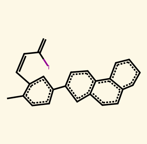 C=C(I)/C=C\c1cc(-c2ccc3c(ccc4ccccc43)c2)ccc1C